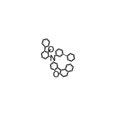 c1ccc(-c2cccc(N(c3ccc4oc5ccc6ccccc6c5c4c3)c3cccc4c3oc3ccccc34)c2)cc1